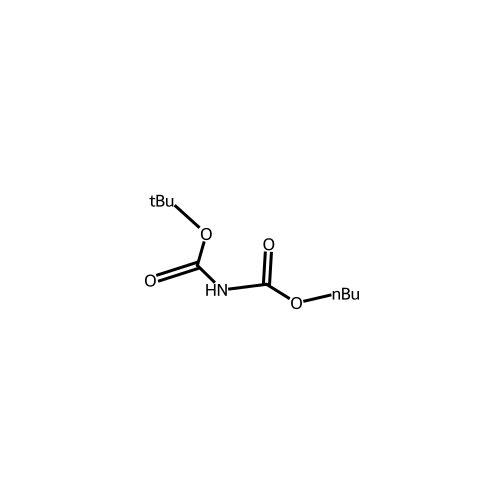 CCCCOC(=O)NC(=O)OC(C)(C)C